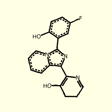 OC1=C(c2nc(-c3cc(F)ccc3O)n3ccccc23)N=CCC1